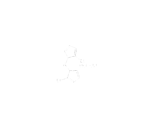 CCC1=CC=C[CH]1[Ti][CH]1C=CC=C1CC.Cl.Cl